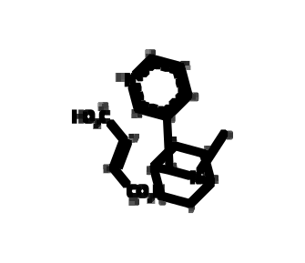 CN1C2CCC(CC2)C1c1cccnc1.O=C(O)/C=C/C(=O)O